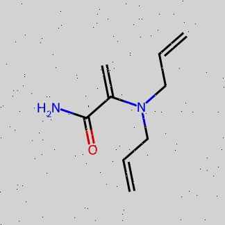 C=CCN(CC=C)C(=C)C(N)=O